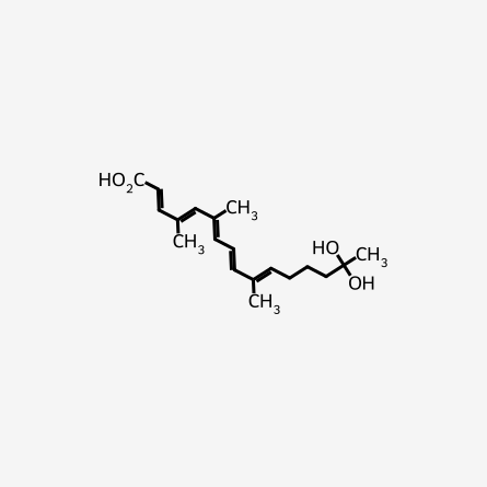 CC(=CC=CC(C)=CCCCC(C)(O)O)C=C(C)C=CC(=O)O